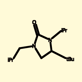 CC(C)CN1CC(C(C)(C)C)N(C(C)C)C1=O